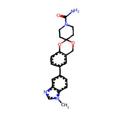 Cn1cnc2cc(-c3ccc4c(c3)COC3(CCN(C(N)=O)CC3)O4)ccc21